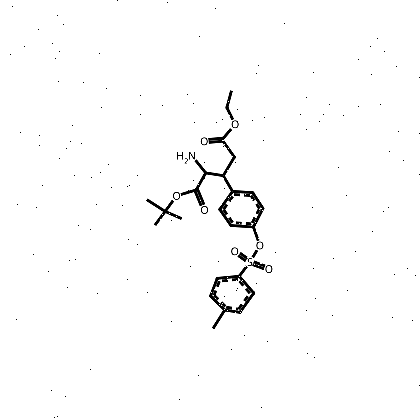 CCOC(=O)CC(c1ccc(OS(=O)(=O)c2ccc(C)cc2)cc1)C(N)C(=O)OC(C)(C)C